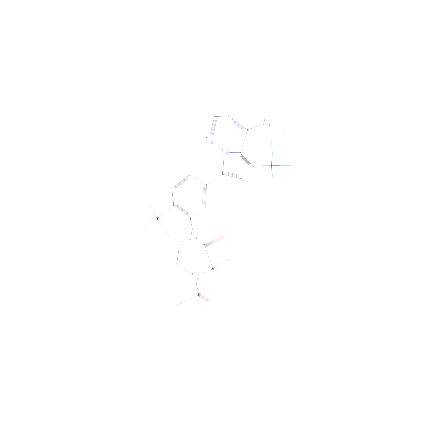 CC(=O)N1CCN(c2cc(-c3cc(C(F)(F)F)c4c(N)ncnn34)ccc2C(C)(C)O)C(=O)C1(C)C